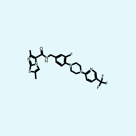 Cc1cn2c(C(=O)NCc3ccc(N4CCN(c5ccc(C(F)(F)F)cn5)CC4)c(F)c3)c(C)nc2s1